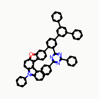 c1ccc(-c2cc(-c3ccccc3)cc(-c3ccc(-c4ccc5c(c4)oc4ccc6c(c7ccccc7n6-c6ccccc6)c45)c(-c4nc(-c5ccccc5)nc(-c5ccccc5)n4)c3)c2)cc1